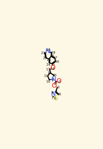 O=C(OCc1cscn1)N1CCC(COc2ccc3cnccc3c2)C1